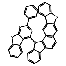 c1ccc(-c2nc(-n3c4ccccc4c4ccc5cc6oc7ccccc7c6cc5c43)c3c(n2)sc2ccccc23)cc1